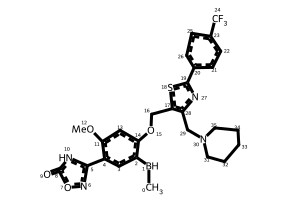 CBc1cc(-c2noc(=O)[nH]2)c(OC)cc1OCc1sc(-c2ccc(C(F)(F)F)cc2)nc1CN1CCCCC1